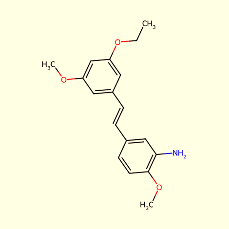 CCOc1cc(C=Cc2ccc(OC)c(N)c2)cc(OC)c1